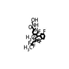 Cc1cc(C(=O)NCO)ncc1C(c1c(F)ccc(F)c1F)S(=O)(=O)CCC(C)(F)F